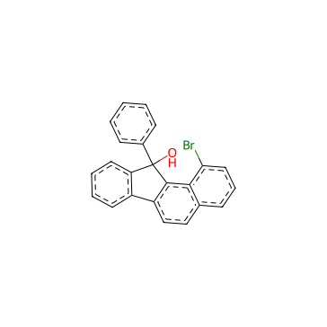 OC1(c2ccccc2)c2ccccc2-c2ccc3cccc(Br)c3c21